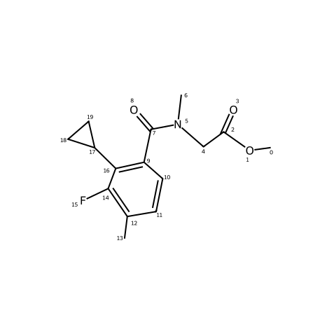 COC(=O)CN(C)C(=O)c1ccc(C)c(F)c1C1CC1